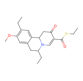 CCSC(=O)C1=CN2C(CC)Cc3cc(OC)c(CC)cc3C2CC1=O